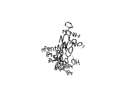 CCCCCNc1nc2nc(-c3ccccc3)[nH]c2c(O[N+](=O)[O-])[n+]1[C@@H]1O[C@H](CO)[C@@H](OO[Si](C(C)C)(C(C)C)[SiH](C(C)C)C(C)C)[C@@H]1OO[Si](C(C)C)(C(C)C)[SiH](C(C)C)C(C)C